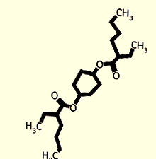 CCCCC(CC)C(=O)OC1CCC(OC(=O)C(CC)CCCC)CC1